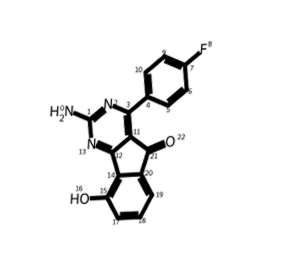 Nc1nc(-c2ccc(F)cc2)c2c(n1)-c1c(O)cccc1C2=O